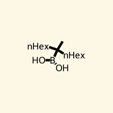 CCCCCCC(C)(CCCCCC)B(O)O